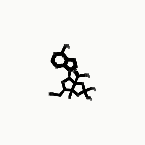 C=C(C)[C@@]12OC(C)(C)O[C@@H]1[C@@H](CO)O[C@H]2n1cnc2c(N)ncnc21